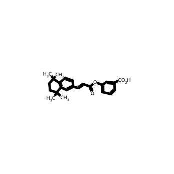 CC1(C)CCC(C)(C)c2cc(/C=C/C(=O)Oc3cccc(C(=O)O)c3)ccc21